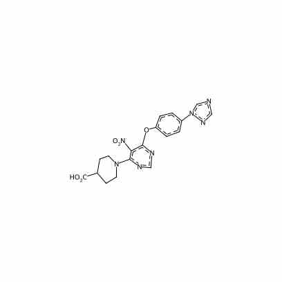 O=C(O)C1CCN(c2ncnc(Oc3ccc(-n4cncn4)cc3)c2[N+](=O)[O-])CC1